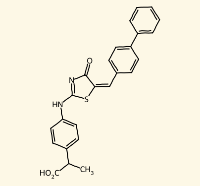 CC(C(=O)O)c1ccc(NC2=NC(=O)/C(=C\c3ccc(-c4ccccc4)cc3)S2)cc1